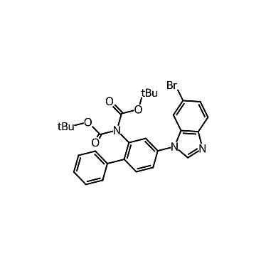 CC(C)(C)OC(=O)N(C(=O)OC(C)(C)C)c1cc(-n2cnc3ccc(Br)cc32)ccc1-c1ccccc1